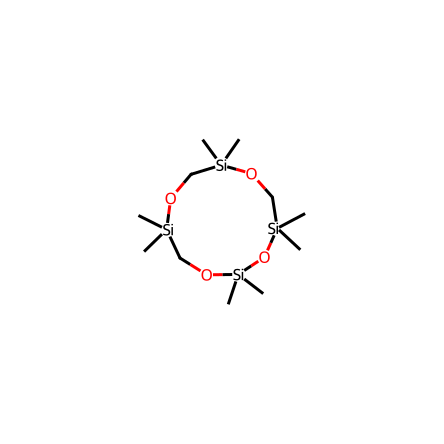 C[Si]1(C)CO[Si](C)(C)CO[Si](C)(C)O[Si](C)(C)CO1